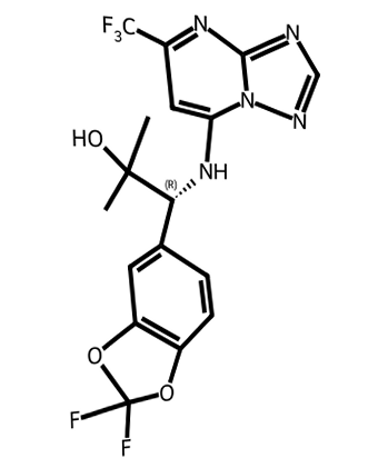 CC(C)(O)[C@H](Nc1cc(C(F)(F)F)nc2ncnn12)c1ccc2c(c1)OC(F)(F)O2